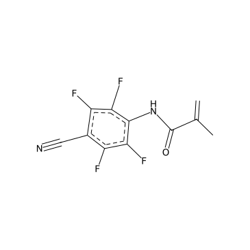 C=C(C)C(=O)Nc1c(F)c(F)c(C#N)c(F)c1F